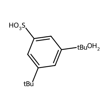 CC(C)(C)c1cc(C(C)(C)C)cc(S(=O)(=O)O)c1.O